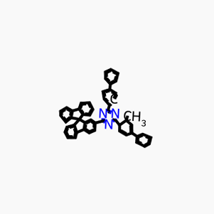 CC1C=C(c2ccccc2)C=CC1c1nc(-c2ccc(-c3ccccc3)cc2)nc(-c2ccc3c(c2)C2(c4ccccc4-c4ccccc42)c2ccccc2-3)n1